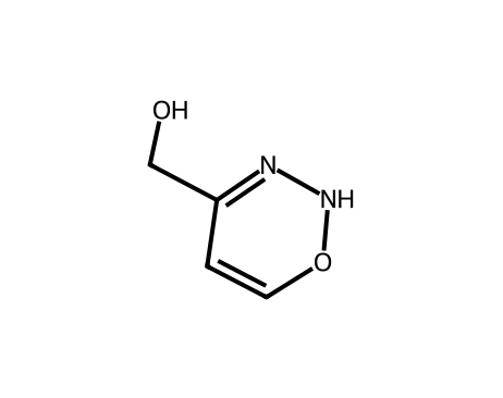 OCC1=NNOC=C1